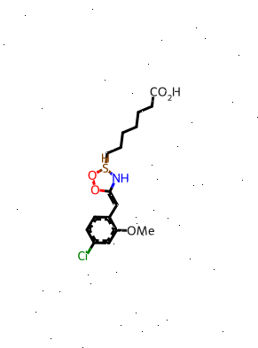 COc1cc(Cl)ccc1/C=C1/N[SH](CCCCCCC(=O)O)OO1